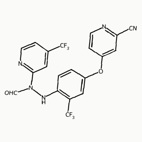 N#Cc1cc(Oc2ccc(NN(C=O)c3cc(C(F)(F)F)ccn3)c(C(F)(F)F)c2)ccn1